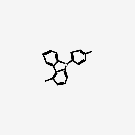 Cc1ccc(-n2c3ccccc3c3c(C)cccc32)cc1